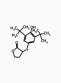 CC(C)(C)c1cc(SC2CCOC2=O)cc(C(C)(C)C)c1O